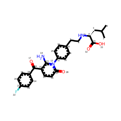 CC(C)C[C@@H](NCCc1ccc(-n2c(N)c(C(=O)c3ccc(F)cc3)ccc2=O)cc1)C(=O)O